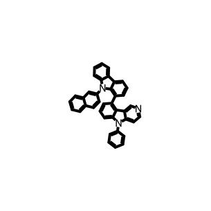 c1ccc(-n2c3ccncc3c3c(-c4cccc5c6ccccc6n(-c6ccc7ccccc7c6)c45)cccc32)cc1